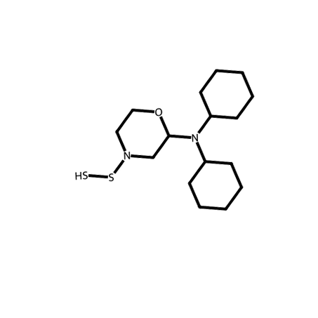 SSN1CCOC(N(C2CCCCC2)C2CCCCC2)C1